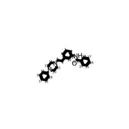 O=C(Nc1cccc(CCN2CCN(c3ccccc3)CC2)c1)c1ccccc1